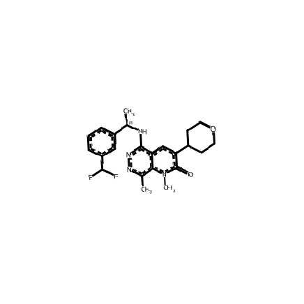 Cc1nnc(N[C@H](C)c2cccc(C(F)F)c2)c2cc(C3CCOCC3)c(=O)n(C)c12